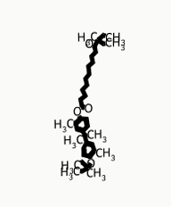 CCC(C)(CC)Oc1ccc(C(C)(C)c2ccc(OC(=O)CCCCCCCCCCC(=O)C(C)(CC)CC)c(C)c2)cc1C